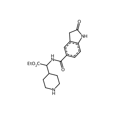 CCOC(=O)C(NC(=O)c1ccc2c(c1)CC(=O)N2)C1CCNCC1